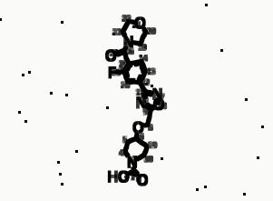 O=C(O)N1CCC(OCc2nc(-c3ccc(C(=O)N4CCOCC4)c(F)c3)no2)CC1